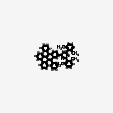 Cc1cccc(C)c1-c1nc(-c2ccc3c(-c4ccccc4)c4c5ccccc5c5ccccc5c4c(-c4ccccc4)c3c2)nc(-c2c(C)cccc2C)n1